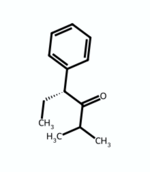 CC[C@@H](C(=O)C(C)C)c1ccccc1